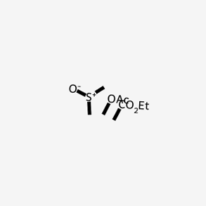 CCOC(C)=O.COC(C)=O.C[S+](C)[O-]